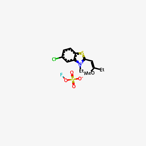 CCC(=Cc1sc2ccc(Cl)cc2[n+]1CC)OC.O=S(=O)([O-])OF